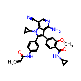 C=CC(=O)Nc1ccc(-c2c(-c3ccc(C(=O)NC4CC4)c(OC)c3)c3c(N)ncc(C#N)c3n2C2CC2)cc1